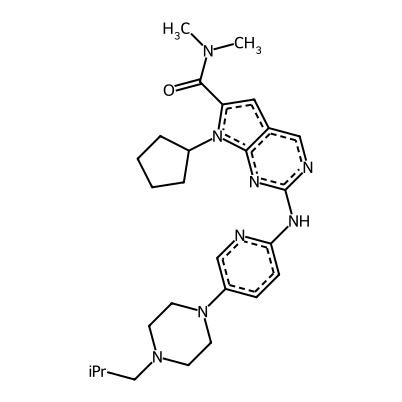 CC(C)CN1CCN(c2ccc(Nc3ncc4cc(C(=O)N(C)C)n(C5CCCC5)c4n3)nc2)CC1